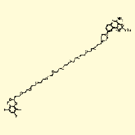 CCCCc1nc2c(N)nc3ccc(N4CCN(CCOCCOCCOCCOCCOCCOCCOCCOCCOCCOCCC(=O)Oc5c(F)c(F)cc(F)c5F)CC4)cc3c2[nH]1